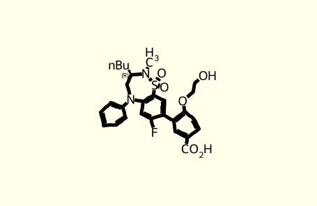 CCCC[C@@H]1CN(c2ccccc2)c2cc(F)c(-c3cc(C(=O)O)ccc3OCCO)cc2S(=O)(=O)N1C